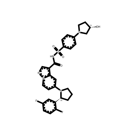 O=C(NS(=O)(=O)c1ccc(N2CC[C@H](O)C2)cc1)c1cnn2ccc(N3CCC[C@@H]3c3cc(F)ccc3F)cc12